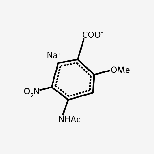 COc1cc(NC(C)=O)c([N+](=O)[O-])cc1C(=O)[O-].[Na+]